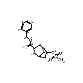 CS(=O)(=O)OC1CC2CC1CN(C(=O)OCc1ccccc1)C2